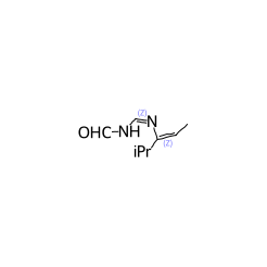 C/C=C(\N=C/NC=O)C(C)C